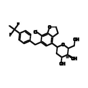 CC(F)(F)c1ccc(Cc2cc(C3CC(O)[C@H](O)C(CO)O3)c3c(c2Cl)OCC3)cc1